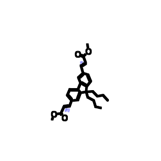 CCCCC1(CCCC)c2ccc(/C=C/C(=O)OC)cc2-c2ccc(/C=C/C(=O)OC)cc21